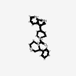 O=C(N1CC=C(c2c[nH]c3ncccc23)CC1)N1CCOCC1c1ccccc1